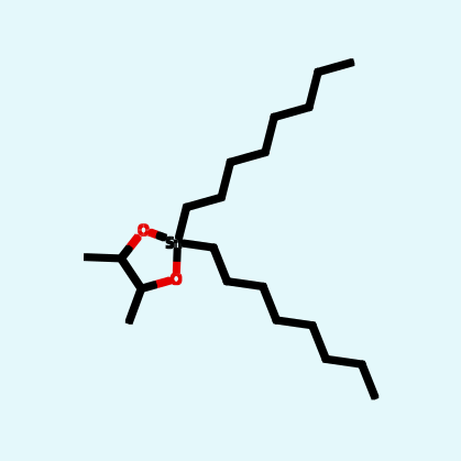 CCCCCCC[CH2][Sn]1([CH2]CCCCCCC)[O]C(C)C(C)[O]1